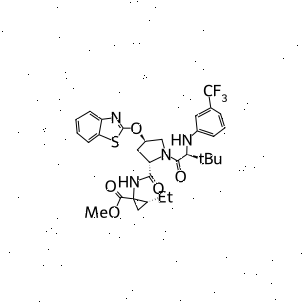 CC[C@@H]1CC1(NC(=O)[C@@H]1C[C@@H](Oc2nc3ccccc3s2)CN1C(=O)[C@@H](Nc1cccc(C(F)(F)F)c1)C(C)(C)C)C(=O)OC